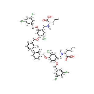 CCCC(C(=O)O)N(C)Cc1cc(Cl)c(OCc2cccc(-c3cccc(COc4cc(OCc5cc(F)cc(F)c5)c(CN(C)C(CCC)C(=O)O)cc4Cl)c3C)c2C)cc1OCc1cc(F)cc(F)c1